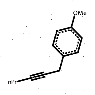 CCCC#C[CH]c1ccc(OC)cc1